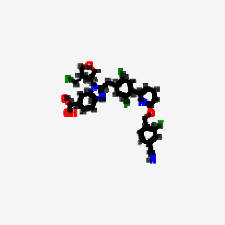 N#Cc1ccc(COc2cccc(-c3cc(F)c(Cc4nc5ccc(C(=O)O)cc5n4[C@H]4COC[C@H]4CF)cc3F)n2)c(F)c1